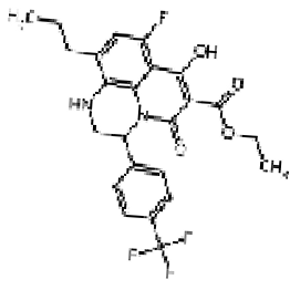 CCCc1cc(F)c2c(O)c(C(=O)OCC)c(=O)n3c2c1NCC3c1ccc(C(F)(F)F)cc1